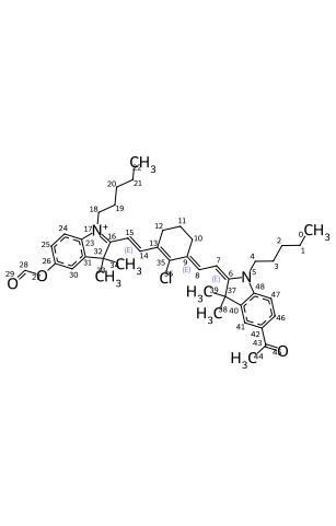 CCCCCN1/C(=C/C=C2\CCCC(/C=C/C3=[N+](CCCCC)c4ccc(OC=O)cc4C3(C)C)=C2Cl)C(C)(C)c2cc(C(C)=O)ccc21